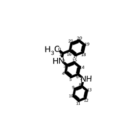 CC(Nc1ccc(Nc2ccccc2)cc1)c1ccccc1